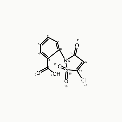 O=C(O)c1ccccc1N1C(=O)C=C(Cl)S1(=O)=O